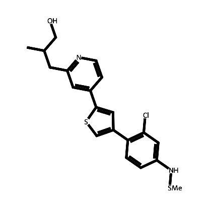 CSNc1ccc(-c2csc(-c3ccnc(CC(C)CO)c3)c2)c(Cl)c1